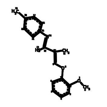 COc1ccccc1O/C=C(C)/C(S)=N/c1ccc(C)cc1